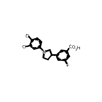 O=C(O)c1cc(F)cc(C2CCN(c3ccc(Cl)c(Cl)c3)C2)c1